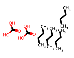 CCCC.CCCC.CCCC.CCCC.O=C(O)O.O=C(O)O